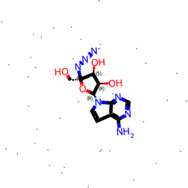 [N-]=[N+]=N[C@]1(CO)O[C@@H](n2ccc3c(N)ncnc32)[C@H](O)[C@@H]1O